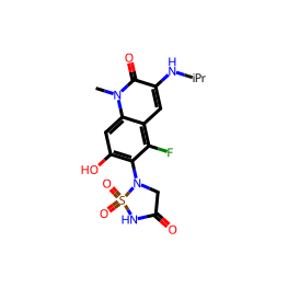 CC(C)Nc1cc2c(F)c(N3CC(=O)NS3(=O)=O)c(O)cc2n(C)c1=O